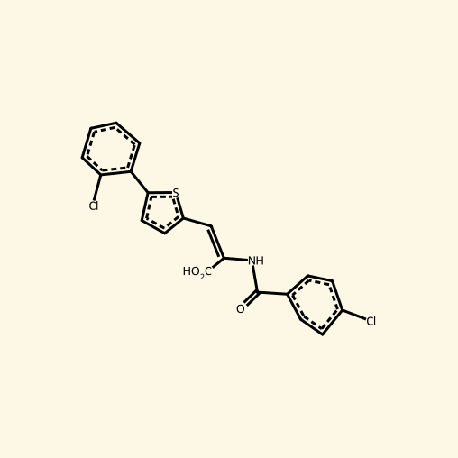 O=C(O)/C(=C\c1ccc(-c2ccccc2Cl)s1)NC(=O)c1ccc(Cl)cc1